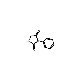 O=C1CNC(=O)N1c1ccccc1